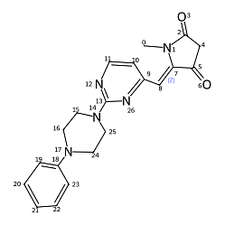 CN1C(=O)CC(=O)/C1=C/c1ccnc(N2CCN(c3ccccc3)CC2)n1